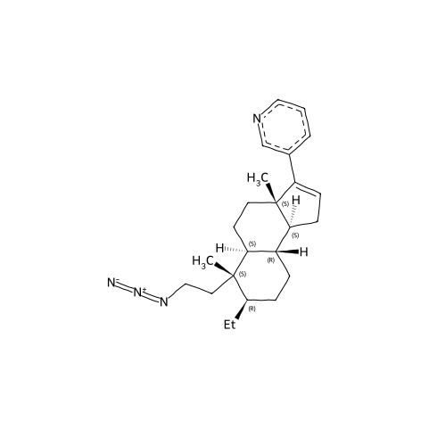 CC[C@@H]1CC[C@@H]2[C@H](CC[C@]3(C)C(c4cccnc4)=CC[C@@H]23)[C@@]1(C)CCN=[N+]=[N-]